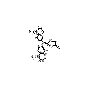 CN1CCOc2cc(C(=C3C=CC(=O)O3)c3ccc4c(c3)OCCN4C)ccc21